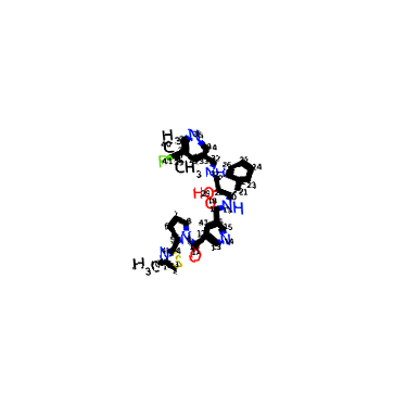 Cc1csc(C2CCCN2C(=O)c2cncc(C(=O)N[C@@H](Cc3ccccc3)[C@H](O)CNCc3cncc(C(C)(C)F)c3)c2)n1